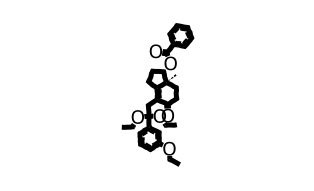 CCOc1cccc(C(CC2=C3CC[C@H](OC(=O)c4ccccc4)[C@@]3(C)CCC2=O)(OCC)OCC)c1